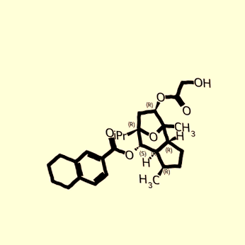 CC(C)[C@@]12C[C@@H](OC(=O)CO)C(C)(O1)[C@@H]1CC[C@@H](C)[C@H]1[C@@H]2OC(=O)c1ccc2c(c1)CCCC2